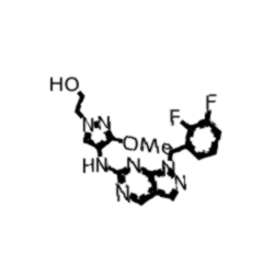 COc1nn(CCO)cc1Nc1ncc2cnn(Cc3cccc(F)c3F)c2n1